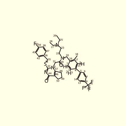 [2H]c1c([2H])c(-c2ccc(C(F)(F)F)cc2)c([2H])c(C)c1CN(CCN(CC)CC)C(=O)Cn1c(SCc2ccc(F)cc2)nc(=O)c2c1CCC2